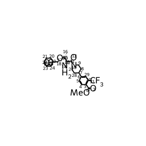 COC(=O)c1ccc(C2CCN(C(=O)[C@@H](N)[C@@H](C)OCC34CCC(CC3)OC4)CC2)cc1C(F)(F)F